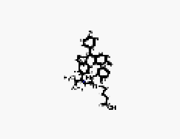 CC(C)/C(=C/C(=O)Nc1ccccc1OCCCC(=O)O)c1ccc2c(ccn2C(c2ccc(F)cc2)c2ccc(F)cc2)c1